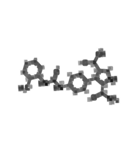 Cc1ccccc1NC(=O)Nc1ccc(-c2c(C(=O)O)c[nH]c2C(N)=O)cc1